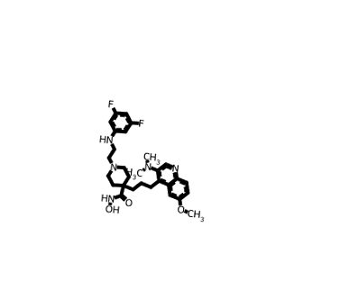 COc1ccc2ncc(N(C)C)c(CCCC3(C(=O)NO)CCN(CCNc4cc(F)cc(F)c4)CC3)c2c1